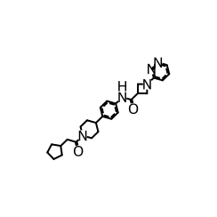 O=C(Nc1ccc(C2CCN(C(=O)CC3CCCC3)CC2)cc1)C1CN(c2cccnn2)C1